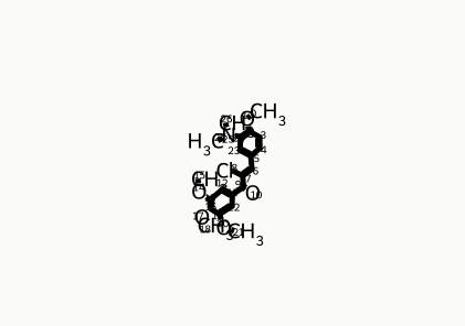 COc1ccc(C=C(Cl)C(=O)c2cc(OC)c(OC)c(OC)c2)cc1N(C)C